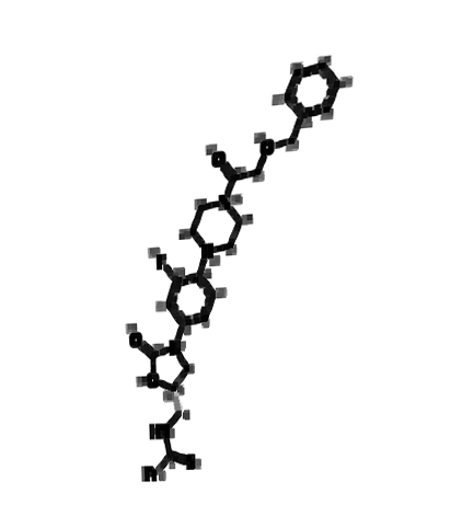 CC(C)C(=S)NC[C@H]1CN(c2ccc(N3CCN(C(=O)COCc4ccccc4)CC3)c(F)c2)C(=O)O1